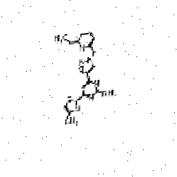 CCc1cccc(Cn2cc(-c3cc(-c4nc(C)cs4)nc(N)n3)nn2)n1